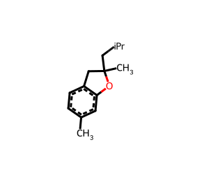 Cc1ccc2c(c1)OC(C)(CC(C)C)C2